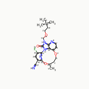 C[C@@H]1CCOc2ccnc3c2n(c(=O)n3COCC[Si](C)(C)C)-c2nc(c(C#N)cc2F)O1